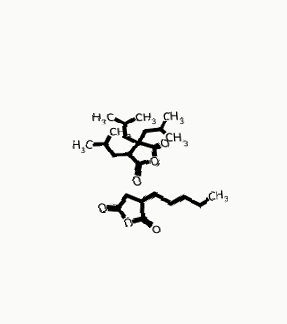 CC(C)CC1C(=O)OC(=O)C1(CC(C)C)CC(C)C.CCCCCC1CC(=O)OC1=O